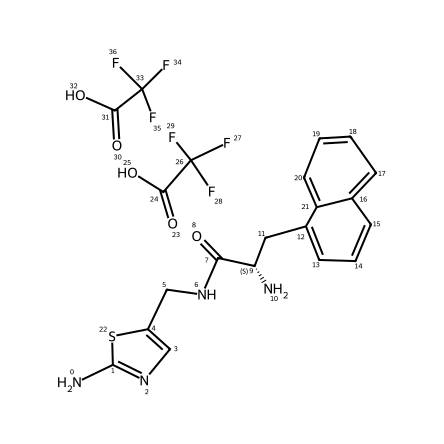 Nc1ncc(CNC(=O)[C@@H](N)Cc2cccc3ccccc23)s1.O=C(O)C(F)(F)F.O=C(O)C(F)(F)F